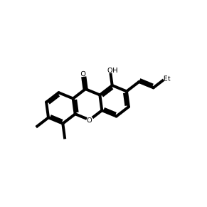 CCC=Cc1ccc2oc3c(C)c(C)ccc3c(=O)c2c1O